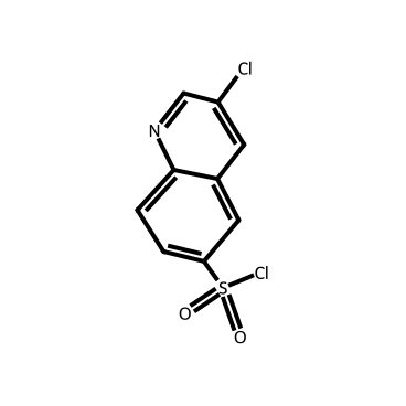 O=S(=O)(Cl)c1ccc2ncc(Cl)cc2c1